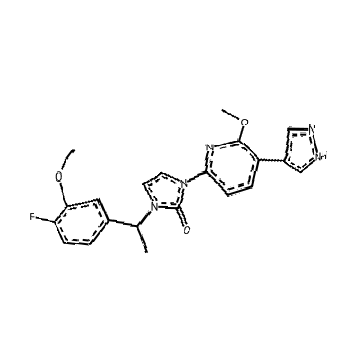 COc1cc(C(C)n2ccn(-c3ccc(-c4cn[nH]c4)c(OC)n3)c2=O)ccc1F